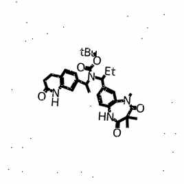 CCC(c1ccc2c(c1)N(C)C(=O)C(C)(C)C(=O)N2)N(C(=O)OC(C)(C)C)C(C)c1ccc2c(c1)NC(=O)CC2